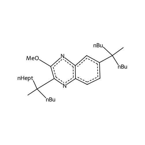 CCCCCCCC(C)(CCCC)c1nc2ccc(C(C)(CCCC)CCCC)cc2nc1OC